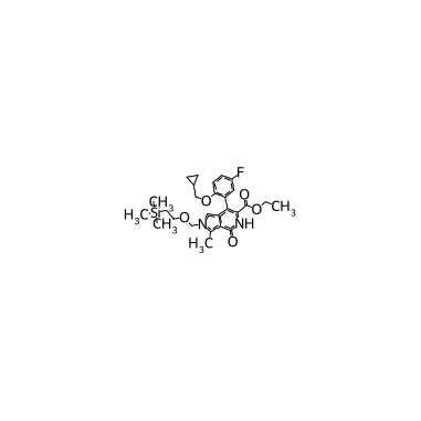 CCOC(=O)c1[nH]c(=O)c2c(C)n(COCC[Si](C)(C)C)cc2c1-c1cc(F)ccc1OCC1CC1